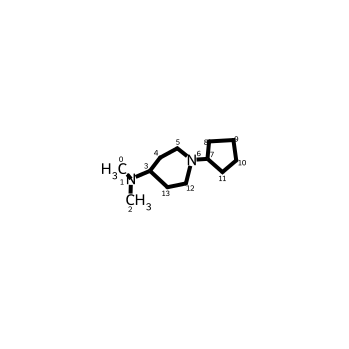 CN(C)C1CCN(C2CCCC2)CC1